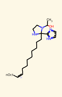 CCCCCCCC/C=C\CCCCCCCCC1(c2ncc[nH]2)NCCN1C(C)O